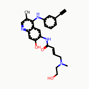 C#Cc1cccc(Nc2c(C#N)cnc3cc(O)c(NC(=O)/C=C/CN(C)CCO)cc23)c1